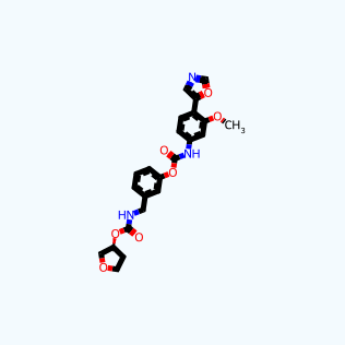 COc1cc(NC(=O)Oc2cccc(CNC(=O)O[C@H]3CCOC3)c2)ccc1-c1cnco1